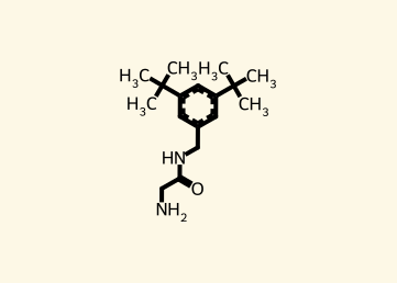 CC(C)(C)c1cc(CNC(=O)CN)cc(C(C)(C)C)c1